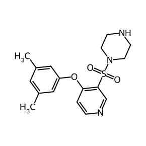 Cc1cc(C)cc(Oc2ccncc2S(=O)(=O)N2CCNCC2)c1